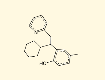 Cc1ccc(O)c(C(Cc2ccccn2)C2CCCCC2)c1